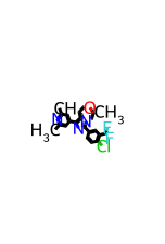 Cc1cc(-c2nc(-c3ccc(Cl)c(C(F)F)c3)n3c2CCOC(C)C3)cc(C)n1